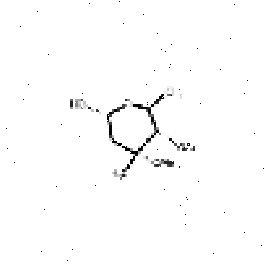 CO[C@]1(C)C[C@H](O)O[C@@H](C)[C@@H]1OC(C)=O